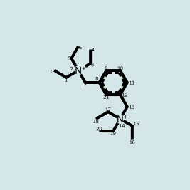 CC[N+](CC)(CC)Cc1cccc(C[N+](CC)(CC)CC)c1